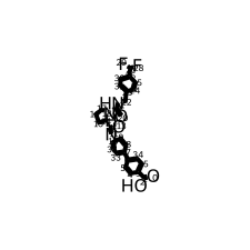 O=C(O)c1ccc(-c2ccc(NC(=O)[C@H]3CCCN3C(=O)NCc3ccc(C(F)F)cc3)cc2)cc1